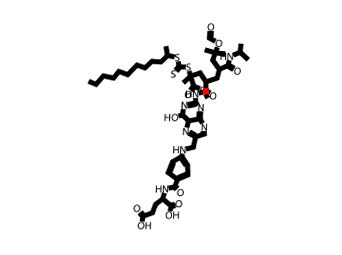 CCCCCCCCCCC(C)SC(=S)SC(C)(CC(CC(CC(C)(C)OC=O)C(=O)NC(C)C)C(=O)NC1=NC(O)C2N=C(CNc3ccc(C(=O)NC(CCC(=O)O)C(=O)O)cc3)C=NC2=N1)C(=O)OC